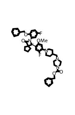 COc1cc(N2CCC(CN3CCN(C(=O)OCc4ccccc4)CC3)CC2)c(F)cc1[C@@H]1N(c2cc(F)ccc2OCc2ccccc2)C(=O)C12CCCC2